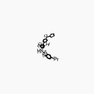 CC(C)c1ccc2nc(Nc3ccc(-c4ccc(C(=O)C5CCCC5)cc4)cc3)sc2c1.O=C(O)O